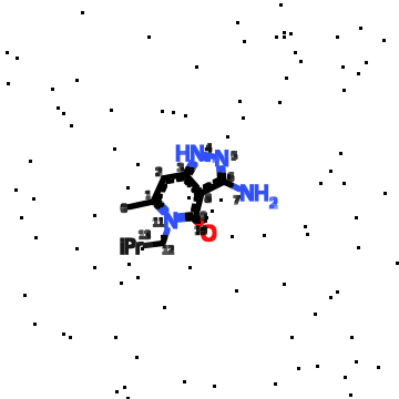 Cc1cc2[nH]nc(N)c2c(=O)n1CC(C)C